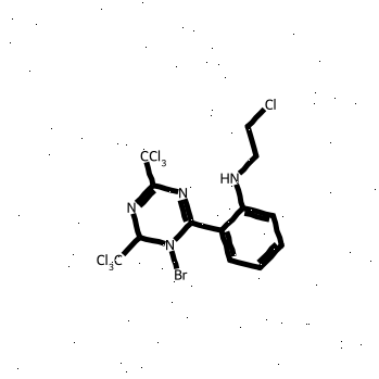 ClCCNc1ccccc1C1=NC(C(Cl)(Cl)Cl)=NC(C(Cl)(Cl)Cl)N1Br